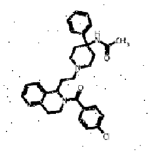 CC(=O)NC1(c2ccccc2)CCN(CCC2c3ccccc3CCN2C(=O)c2ccc(Cl)cc2)CC1